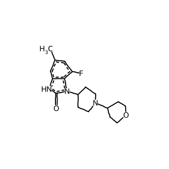 Cc1cc(F)c2c(c1)[nH]c(=O)n2C1CCN(C2CCOCC2)CC1